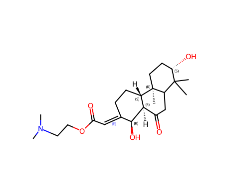 CN(C)CCOC(=O)/C=C1\CC[C@H]2[C@@H](C(=O)CC3C(C)(C)[C@@H](O)CC[C@@]32C)[C@H]1O